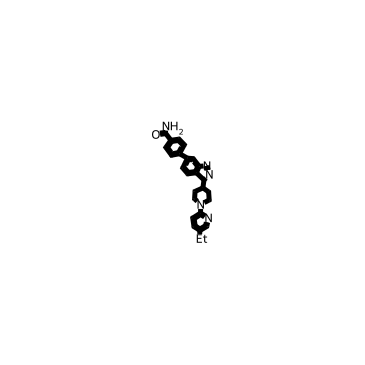 CCc1ccc(N2CCC(C3N=Nc4cc(-c5ccc(C(N)=O)cc5)ccc43)CC2)nc1